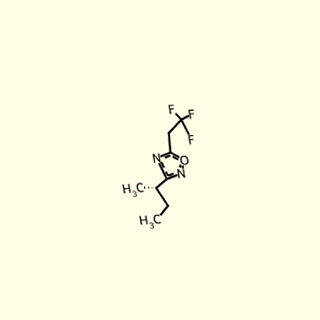 CC[C@H](C)c1noc(CC(F)(F)F)n1